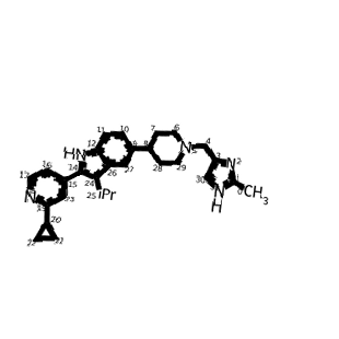 Cc1nc(CN2CCC(c3ccc4[nH]c(-c5ccnc(C6CC6)c5)c(C(C)C)c4c3)CC2)c[nH]1